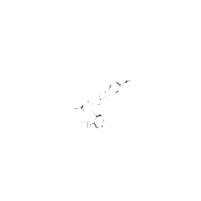 O=C(O)C[C@H](NC(=O)c1csc(-c2ccc(C(F)(F)F)cc2)n1)c1ccccc1Cl